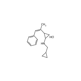 CC(=Cc1ccccc1)C1CC1NCC1CC1.Cl